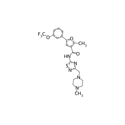 Cc1oc(-c2cccc(OC(F)(F)F)c2)cc1C(=O)Nc1nc(CN2CCN(C)CC2)ns1